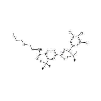 O=C(NCCSCCF)c1ccc(/C(F)=C/C(c2cc(Cl)c(Cl)c(Cl)c2)C(F)(F)F)cc1C(F)(F)F